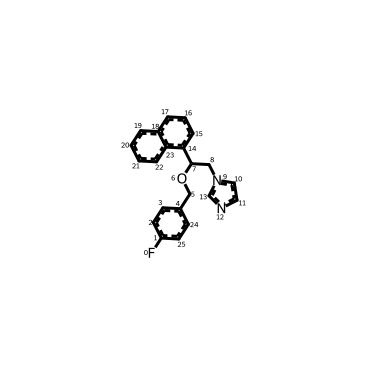 Fc1ccc(COC(Cn2ccnc2)c2cccc3ccccc23)cc1